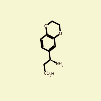 N[C@@H](CC(=O)O)c1ccc2c(c1)OCCO2